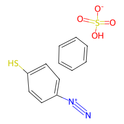 N#[N+]c1ccc(S)cc1.O=S(=O)([O-])O.c1ccccc1